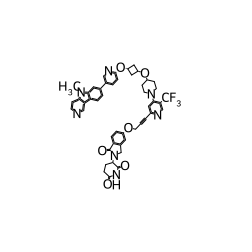 Cn1c2ccncc2c2ccc(-c3ccc(O[C@H]4C[C@H](OC5CCN(c6cc(C#CCOc7ccc8c(c7)CN(C7CCC(=O)NC7=O)C8=O)ncc6C(F)(F)F)CC5)C4)nc3)cc21